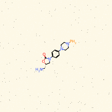 NC[C@H]1CN(c2ccc(N3CCN(P)CC3)cc2)C(=O)O1